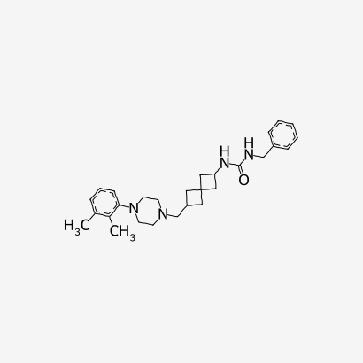 Cc1cccc(N2CCN(CC3CC4(C3)CC(NC(=O)NCc3ccccc3)C4)CC2)c1C